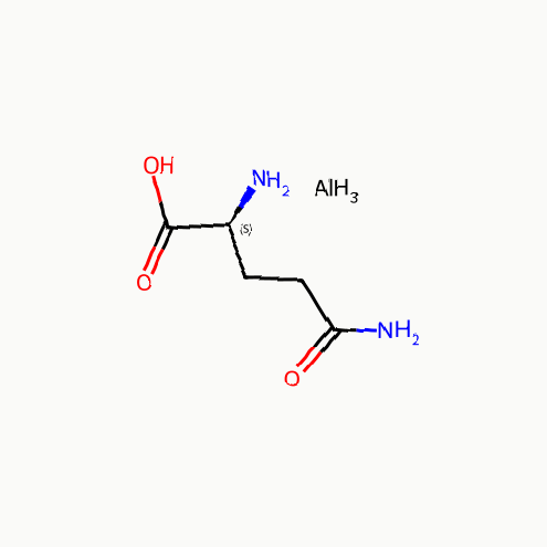 NC(=O)CC[C@H](N)C(=O)O.[AlH3]